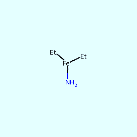 C[CH2][Fe]([NH2])[CH2]C